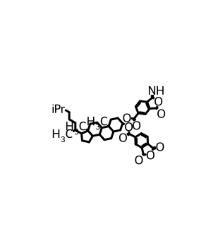 CC(C)CCCC(C)C1CCC2C3CCC4CC(OC(=O)c5ccc6c(c5)C(=O)OC6=N)(OC(=O)c5ccc6c(c5)C(=O)OC6=O)CCC4(C)C3CCC12C